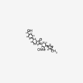 COC1=CC(N2CC3=C(CC(c4ccc(CO)cc4)C=C3)C2=O)CC=C1n1cnc(C)c1